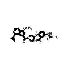 COc1cc(C(=O)N2CCC3(CC2)NC(=O)c2cc(NC(C)=O)ccc2N3)cc2c(C3CC3)nccc12